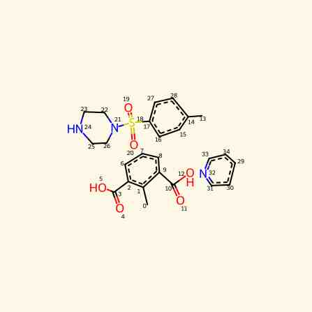 Cc1c(C(=O)O)cccc1C(=O)O.Cc1ccc(S(=O)(=O)N2CCNCC2)cc1.c1ccncc1